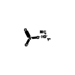 O=[N+]([O-])[O-].[NH4+].[OH-].[Y+]